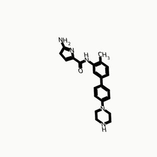 Cc1ccc(-c2ccc(N3CCNCC3)cc2)cc1NC(=O)C1=CCC(N)=N1